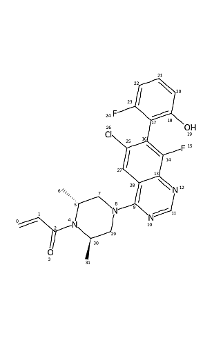 C=CC(=O)N1[C@H](C)CN(c2ncnc3c(F)c(-c4c(O)cccc4F)c(Cl)cc23)C[C@H]1C